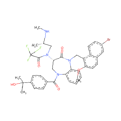 CN[C@@H](C)CN(C(=O)C(F)(F)F)[C@H]1CN(C(=O)c2ccc(C(C)(C)O)cc2)c2ccccc2N(Cc2c(OC)ccc3cc(Br)ccc23)C1=O